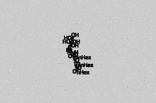 CCCCCCC(=O)N[C@H](CSC[C@@H](COC(=O)CCCCCC)OC(=O)CCCCCC)C(=O)Nc1cn(C[C@H](O)[C@H](O)[C@H](O)[C@H](O)CO)nn1